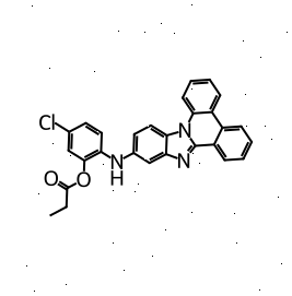 CCC(=O)Oc1cc(Cl)ccc1Nc1ccc2c(c1)nc1c3ccccc3c3ccccc3n21